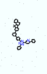 CC1(C)c2cc(-c3cccc(-c4ccc(-c5nc(-c6ccccc6)nc(-c6ccc(-c7ccccc7)nc6)n5)cc4)c3)ccc2-c2ccc3ccccc3c21